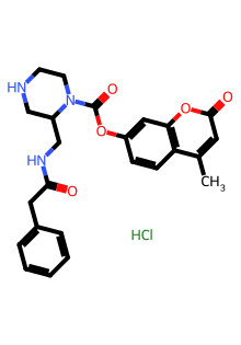 Cc1cc(=O)oc2cc(OC(=O)N3CCNCC3CNC(=O)Cc3ccccc3)ccc12.Cl